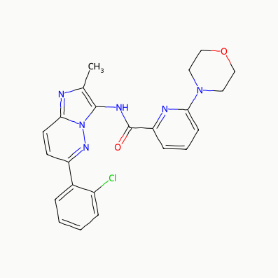 Cc1nc2ccc(-c3ccccc3Cl)nn2c1NC(=O)c1cccc(N2CCOCC2)n1